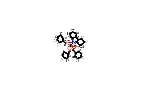 c1ccc(CO[Si](OCc2ccccc2)(OCc2ccccc2)n2c3ccccc3c3ccccc32)cc1